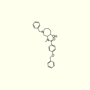 CN(C(=O)c1ccc(OCc2ccccc2)cc1)C1CN(Cc2ccccc2)CCCC1O